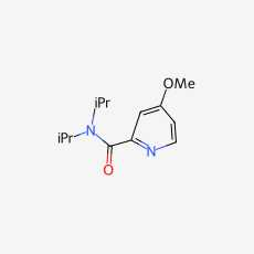 COc1ccnc(C(=O)N(C(C)C)C(C)C)c1